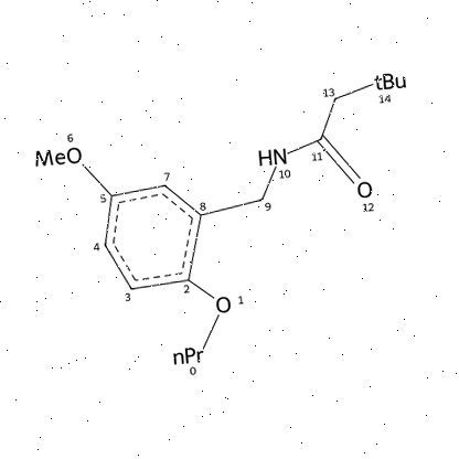 CCCOc1ccc(OC)cc1CNC(=O)CC(C)(C)C